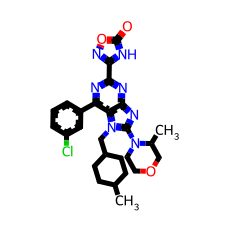 CC1CCC(Cn2c(N3CCOCC3C)nc3nc(-c4noc(=O)[nH]4)nc(-c4cccc(Cl)c4)c32)CC1